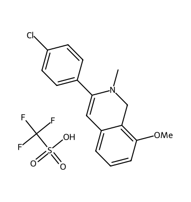 COc1cccc2c1CN(C)C(c1ccc(Cl)cc1)=C2.O=S(=O)(O)C(F)(F)F